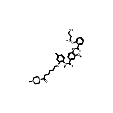 COc1cc(C(=O)N(C)c2ccc(C)cc2OCCCCCC(=O)N2CCN(C)CC2)ccc1NC(=O)c1ccccc1O[C@H](C)CCN